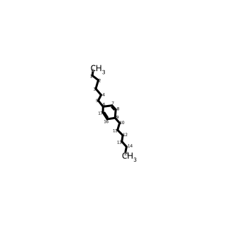 CCCCCCC1C=CC(CCCCCC)C=C1